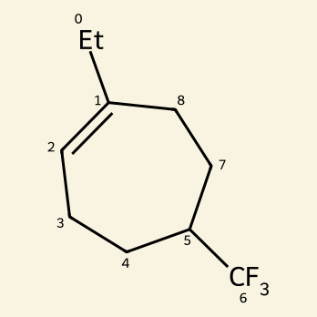 CCC1=CCCC(C(F)(F)F)CC1